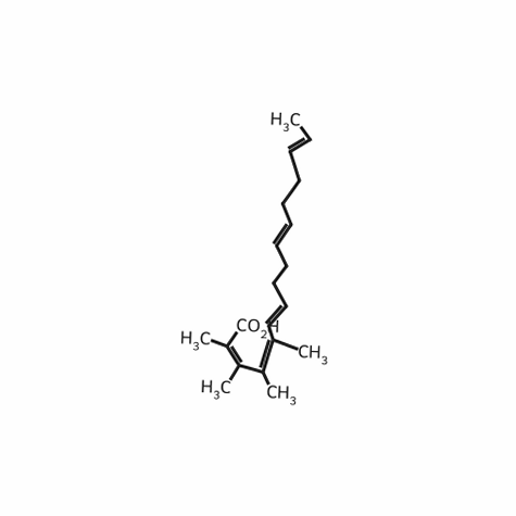 CC=CCCC=CCCC=CC(C)=C(C)C(C)=C(C)C(=O)O